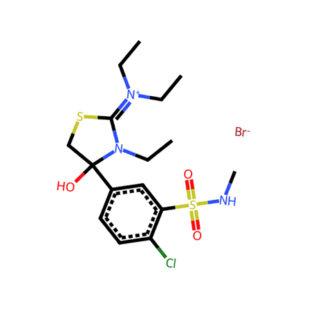 CCN1C(=[N+](CC)CC)SCC1(O)c1ccc(Cl)c(S(=O)(=O)NC)c1.[Br-]